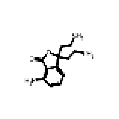 CCCC1(CCC)OC(=O)c2c(P)cccc21